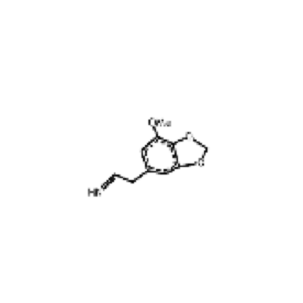 COc1cc(CC=N)cc2c1OCO2